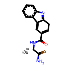 CC[C@H](C)C(NC(=O)C1=CCC2=Nc3ccccc3C2=C1)C(N)=S